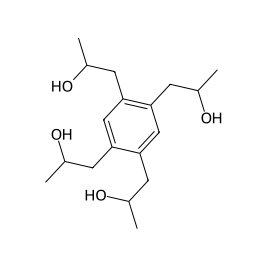 CC(O)Cc1cc(CC(C)O)c(CC(C)O)cc1CC(C)O